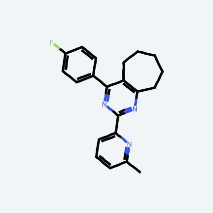 Cc1cccc(-c2nc3c(c(-c4ccc(F)cc4)n2)CCCCC3)n1